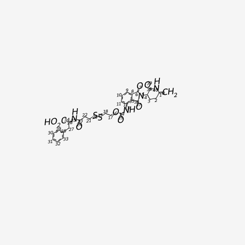 C=C1CCC(N2C(=O)c3cccc(NC(=O)OCCSSCCC(=O)NC(Cc4ccccc4)C(=O)O)c3C2=O)C(=O)N1